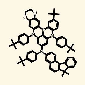 CC(C)(C)c1ccc(N(c2cc3c4c(c2)N(c2ccc(C(C)(C)C)cc2)c2cc5c(cc2B4c2cc(C(C)(C)C)ccc2N3c2ccc(C(C)(C)C)cc2)OCCO5)c2ccc3c4c(ccc3c2)C(C)(C)c2ccccc2-4)cc1